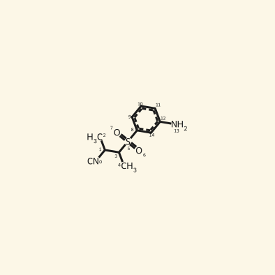 [C-]#[N+]C(C)C(C)S(=O)(=O)c1cccc(N)c1